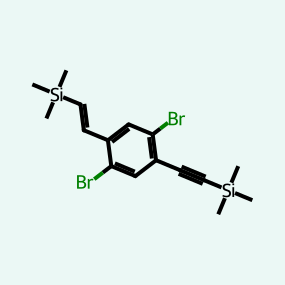 C[Si](C)(C)C#Cc1cc(Br)c(C=C[Si](C)(C)C)cc1Br